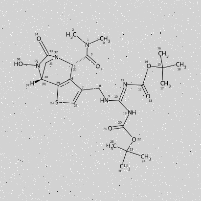 CN(C)C(=O)[C@@H]1c2c(CNC(=NC(=O)OC(C)(C)C)NC(=O)OC(C)(C)C)csc2[C@H]2CN1C(=O)N2O